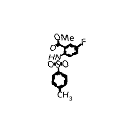 COC(=O)c1cc(F)ccc1NS(=O)(=O)c1ccc(C)cc1